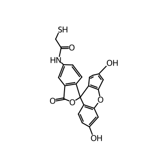 O=C(CS)Nc1ccc2c(c1)C(=O)OC21c2ccc(O)cc2Oc2cc(O)ccc21